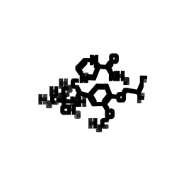 COc1cc(C(C)NC(C)(C)C)ccc1OCC(F)F.NC(=O)c1cnccn1